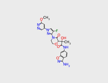 COc1cc(-n2cc(F)c(N3CCOC(C(C)(O)C(=O)Nc4ccc5c(N)noc5c4)C3=O)n2)cnn1